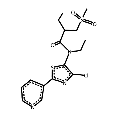 CCC(CS(C)(=O)=O)C(=O)N(CC)c1sc(-c2cccnc2)nc1Cl